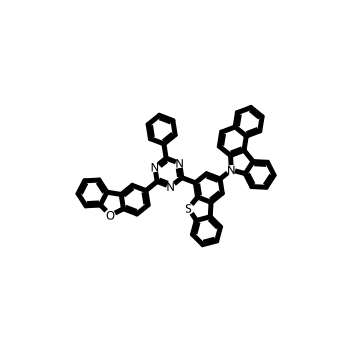 c1ccc(-c2nc(-c3ccc4oc5ccccc5c4c3)nc(-c3cc(-n4c5ccccc5c5c6ccccc6ccc54)cc4c3sc3ccccc34)n2)cc1